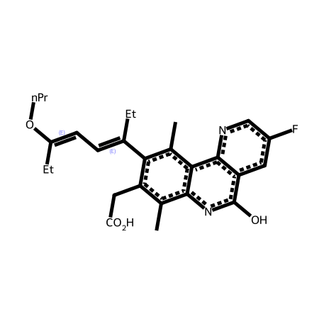 CCCO/C(=C/C=C(\CC)c1c(CC(=O)O)c(C)c2nc(O)c3cc(F)cnc3c2c1C)CC